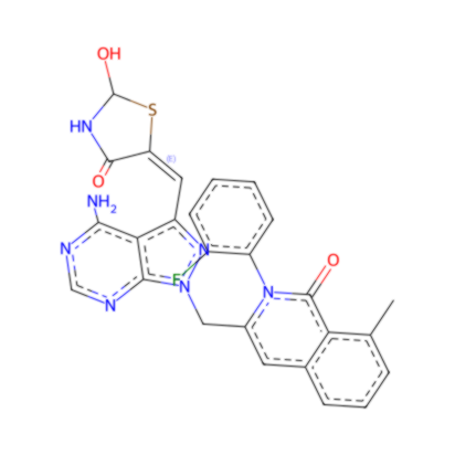 Cc1cccc2cc(Cn3nc(/C=C4/SC(O)NC4=O)c4c(N)ncnc43)n(-c3ccccc3F)c(=O)c12